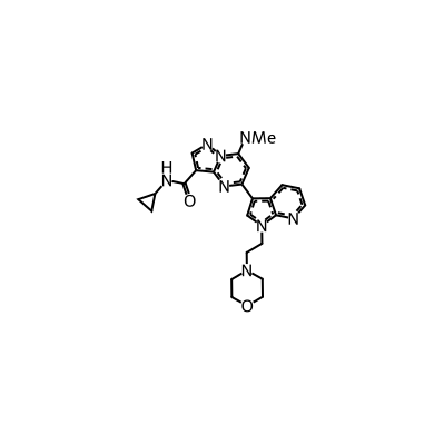 CNc1cc(-c2cn(CCN3CCOCC3)c3ncccc23)nc2c(C(=O)NC3CC3)cnn12